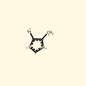 [2H]c1scnc1C